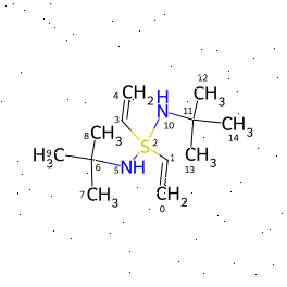 C=CS(C=C)(NC(C)(C)C)NC(C)(C)C